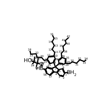 Bc1ccc2c(c1)C(c1cc(CCCCCC)cc(CCCCCC)c1)(c1cc(CCCCCC)cc(CCCCCC)c1)c1cc(BOC(C)(C)C(C)(C)O)ccc1-2